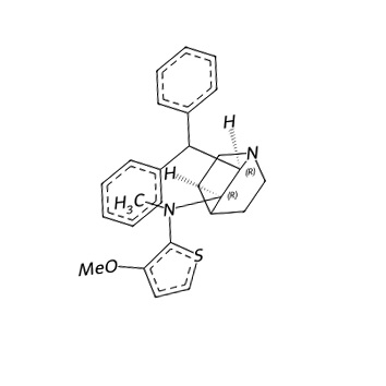 COc1ccsc1N(C)[C@@H]1C2CCN(CC2)[C@@H]1C(c1ccccc1)c1ccccc1